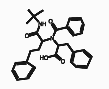 CC(C)(C)NC(=O)C(CCc1ccccc1)N(C(=O)c1ccccc1)C(Cc1ccccc1)C(=O)O